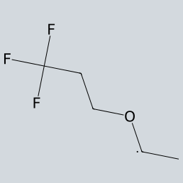 C[CH]OCCC(F)(F)F